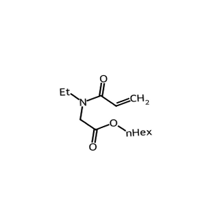 C=CC(=O)N(CC)CC(=O)OCCCCCC